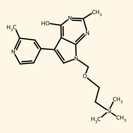 Cc1cc(-c2cn(COCC[Si](C)(C)C)c3nc(C)nc(O)c23)ccn1